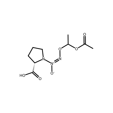 CC(=O)OC(C)O/N=[N+](/[O-])N1CCC[C@H]1C(=O)O